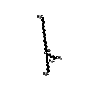 CCCCCCCCCCCCCCCCCC(=O)OC(CCCCCCCCC)CCCC(C)C